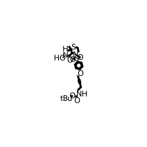 CC(C)(C)OC(=O)NCCC#CCOc1ccc(S(=O)(=O)N2CCSC(C)(C)C2C(=O)NO)cc1